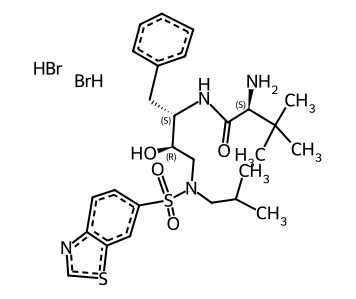 Br.Br.CC(C)CN(C[C@@H](O)[C@H](Cc1ccccc1)NC(=O)[C@@H](N)C(C)(C)C)S(=O)(=O)c1ccc2ncsc2c1